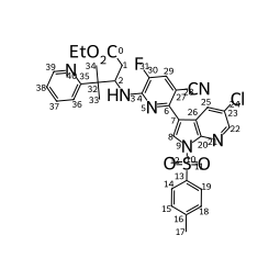 CCOC(=O)CC(Nc1nc(-c2cn(S(=O)(=O)c3ccc(C)cc3)c3ncc(Cl)cc23)c(C#N)cc1F)C(C)(C)c1ccccn1